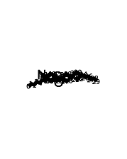 CCCCCCCC1(C#N)CCC(OC(=O)[C@H]2CC[C@H]([C@H]3CC[C@H](CCCCCC)CC3)CC2)CC1